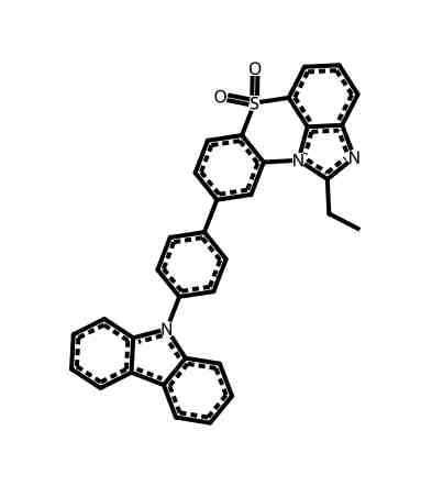 CCc1nc2cccc3c2n1-c1cc(-c2ccc(-n4c5ccccc5c5ccccc54)cc2)ccc1S3(=O)=O